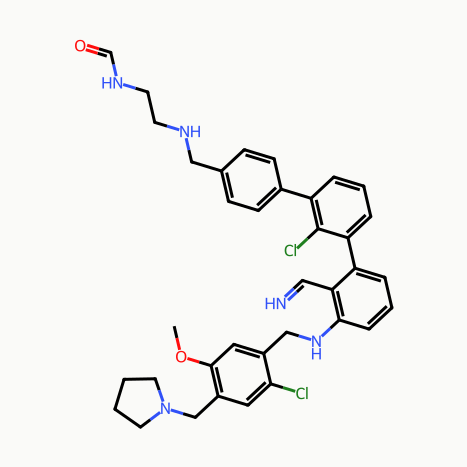 COc1cc(CNc2cccc(-c3cccc(-c4ccc(CNCCNC=O)cc4)c3Cl)c2C=N)c(Cl)cc1CN1CCCC1